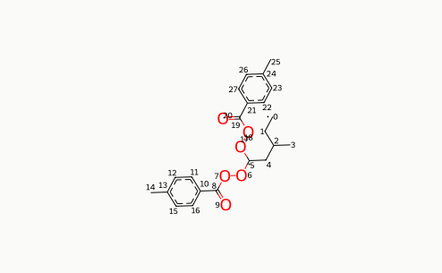 [CH2]CC(C)C[C](OOC(=O)c1ccc(C)cc1)OOC(=O)c1ccc(C)cc1